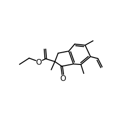 C=Cc1c(C)cc2c(c1C)C(=O)C(C)(C(=C)OCC)C2